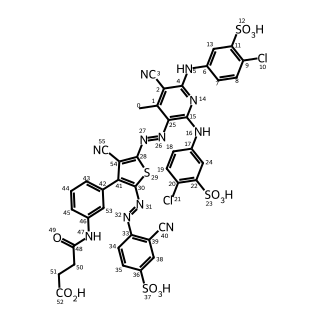 Cc1c(C#N)c(Nc2ccc(Cl)c(S(=O)(=O)O)c2)nc(Nc2ccc(Cl)c(S(=O)(=O)O)c2)c1N=Nc1sc(N=Nc2ccc(S(=O)(=O)O)cc2C#N)c(-c2cccc(NC(=O)CCC(=O)O)c2)c1C#N